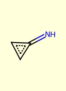 N=c1cc1